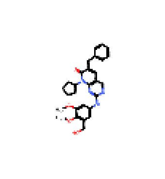 COc1cc(Nc2ncc3cc(Cc4ccccc4)c(=O)n(C4CCCC4)c3n2)cc(CO)c1OC